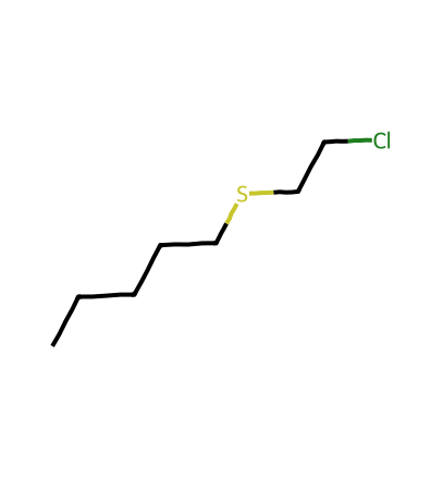 CCCCCSCCCl